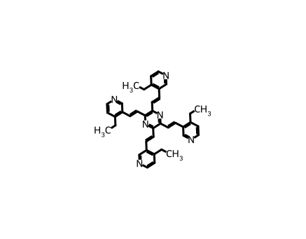 CCc1ccncc1C=Cc1nc(C=Cc2cnccc2CC)c(C=Cc2cnccc2CC)nc1C=Cc1cnccc1CC